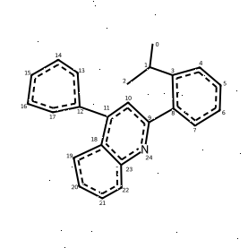 CC(C)c1ccccc1-c1cc(-c2ccccc2)c2ccccc2n1